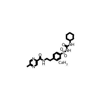 Cc1cnc(C(=O)NCCc2ccc(S(=O)(=O)NC(=O)NC3CCCCC3)cc2)cn1.[CaH2]